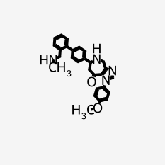 CNCc1ccccc1-c1ccc(C2CC(=O)c3c(ncn3-c3ccc(OC)cc3)CN2)cc1